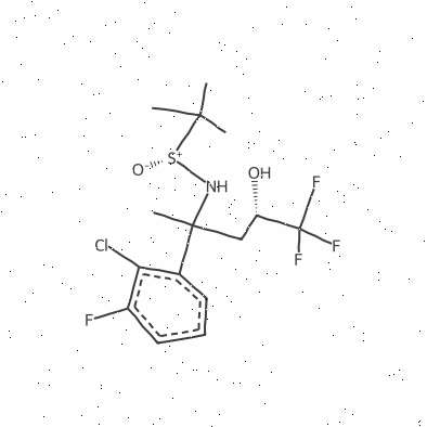 CC(C[C@H](O)C(F)(F)F)(N[S@+]([O-])C(C)(C)C)c1cccc(F)c1Cl